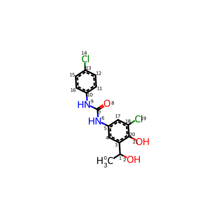 CC(O)c1cc(NC(=O)Nc2ccc(Cl)cc2)cc(Cl)c1O